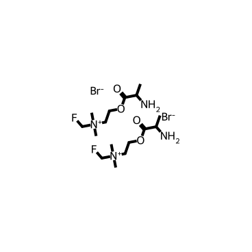 CC(N)C(=O)OCC[N+](C)(C)CF.CC(N)C(=O)OCC[N+](C)(C)CF.[Br-].[Br-]